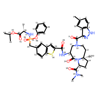 Cc1ccc2[nH]nc(C(=O)N3CC[C@H]4CC[C@@H](C(=O)N(C)C)N4C(=O)[C@@H](NC(=O)c4cc5cc(CP(=O)(N[C@@H](C)C(=O)OC(C)C)Oc6ccccc6)ccc5s4)C3)c2c1